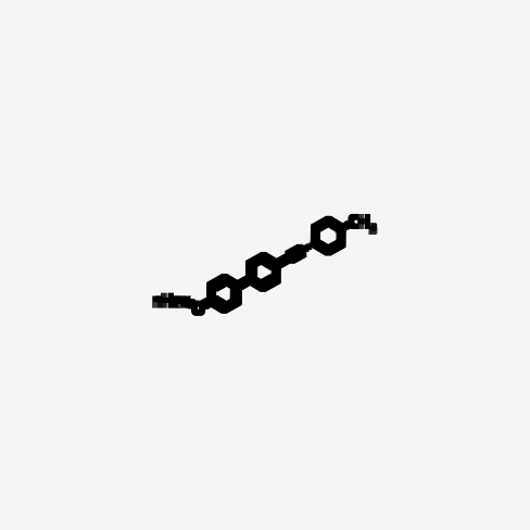 CCCCCCOc1ccc(-c2ccc(C#C[C@H]3CC[C@H](C)CC3)cc2)cc1